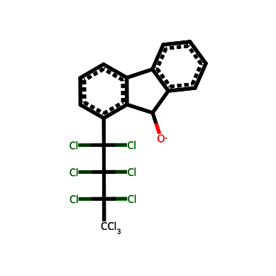 [O]C1c2ccccc2-c2cccc(C(Cl)(Cl)C(Cl)(Cl)C(Cl)(Cl)C(Cl)(Cl)Cl)c21